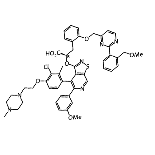 COCc1ccccc1-c1nccc(COc2ccccc2C[C@@H](Oc2nsc3cnc(-c4cccc(OC)c4)c(-c4ccc(OCCN5CCN(C)CC5)c(Cl)c4C)c23)C(=O)O)n1